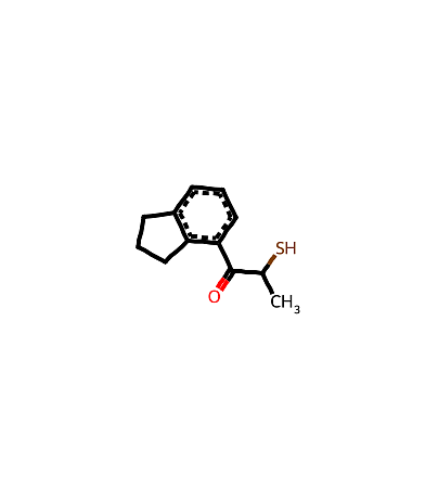 CC(S)C(=O)c1cccc2c1CCC2